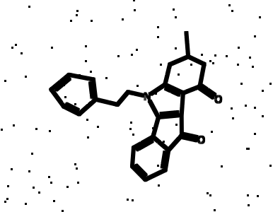 CC1CC(=O)c2c3c(n(CCc4ccccc4)c2C1)-c1ccccc1C3=O